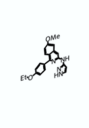 CCOc1ccc(-c2nc(Nc3cc[nH]n3)cc3cc(OC)ccc23)cc1